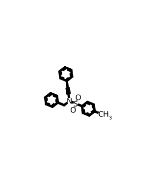 Cc1ccc(S(=O)(=O)N(C#Cc2ccccc2)Cc2ccccc2)cc1